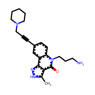 Cc1[nH]nc2c1c(=O)n(CCCN)c1ccc(C#CCN3CCCCC3)cc21